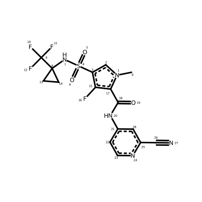 Cn1cc(S(=O)(=O)NC2(C(F)(F)F)CC2)c(F)c1C(=O)Nc1ccnc(C#N)c1